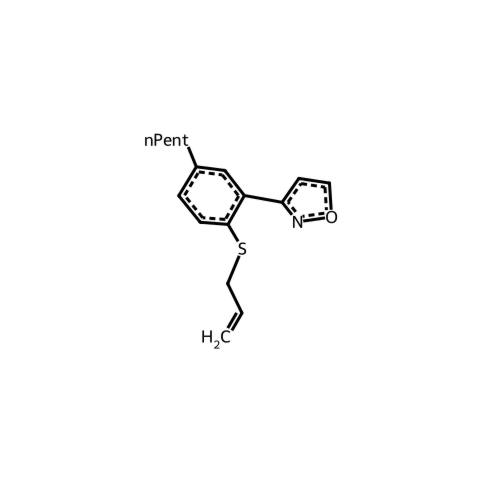 C=CCSc1ccc(CCCCC)cc1-c1ccon1